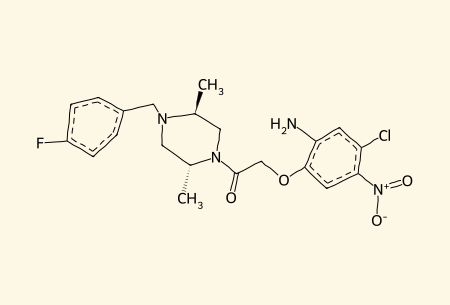 C[C@@H]1CN(Cc2ccc(F)cc2)[C@@H](C)CN1C(=O)COc1cc([N+](=O)[O-])c(Cl)cc1N